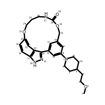 COCCC1CCN(c2cc3cc(c2)-c2n[nH]c4ccc(cc24)OCCCNC(=O)OC3)CC1